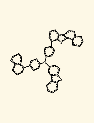 c1ccc2c(-c3ccc(N(c4ccc(-c5cccc6c5sc5c7ccccc7ccc65)cc4)c4ccc5sc6ccccc6c5c4)cc3)cccc2c1